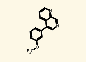 FC(F)(F)Oc1cccc(-c2cncc3ncccc23)c1